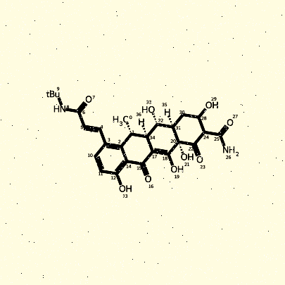 C[C@H]1c2c(/C=C/C(=O)NC(C)(C)C)ccc(O)c2C(=O)C2=C(O)[C@]3(O)C(=O)C(C(N)=O)C(O)C[C@@H]3[C@@H](O)[C@@H]21